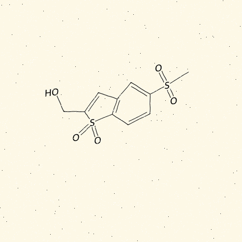 CS(=O)(=O)c1ccc2c(c1)C=C(CO)S2(=O)=O